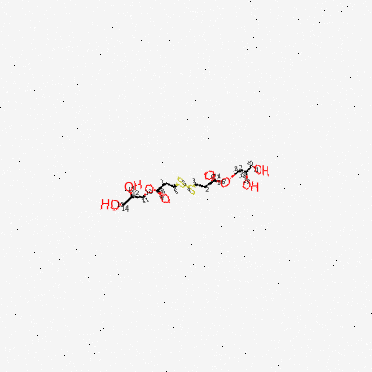 O=C(CCSSCCC(=O)OCC(O)CO)OCC(O)CO